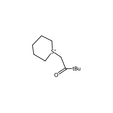 CC(C)(C)C(=O)C[S+]1CCCCC1